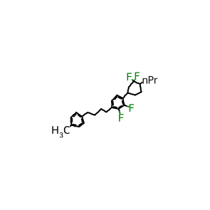 CCCC1CCC(c2ccc(CCCCc3ccc(C)cc3)c(F)c2F)CC1(F)F